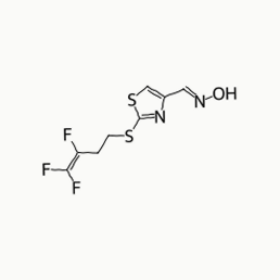 O/N=C/c1csc(SCCC(F)=C(F)F)n1